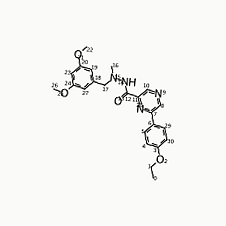 CCOc1ccc(-c2cncc(C(=O)NN(C)Cc3cc(OC)cc(OC)c3)n2)cc1